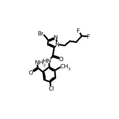 Cc1cc(Cl)cc(C(N)=O)c1NC(=O)c1cc(Br)nn1CCCC(F)F